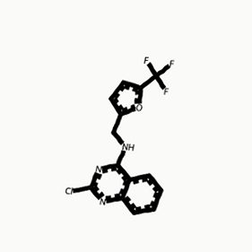 FC(F)(F)c1ccc(CNc2nc(Cl)nc3ccccc23)o1